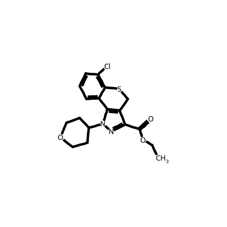 CCOC(=O)c1nn(C2CCOCC2)c2c1CSc1c(Cl)cccc1-2